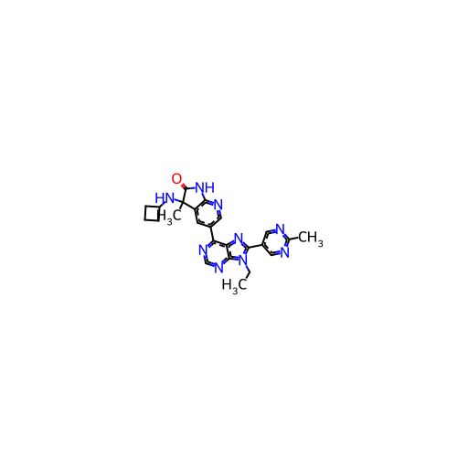 CCn1c(-c2cnc(C)nc2)nc2c(-c3cnc4c(c3)C(C)(NC3CCC3)C(=O)N4)ncnc21